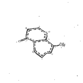 COc1cccc2c(=O)ccsc12